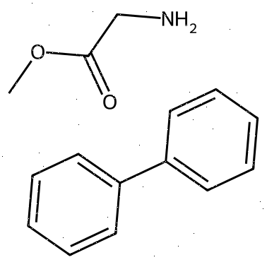 COC(=O)CN.c1ccc(-c2ccccc2)cc1